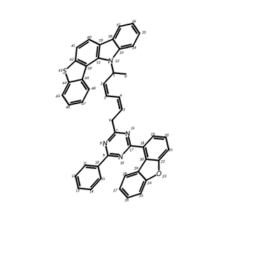 CC(/C=C\C=C/Cc1nc(-c2ccccc2)nc(-c2cccc3oc4ccccc4c23)n1)n1c2ccccc2c2ccc3sc4ccccc4c3c21